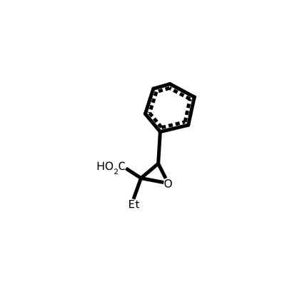 CCC1(C(=O)O)OC1c1ccccc1